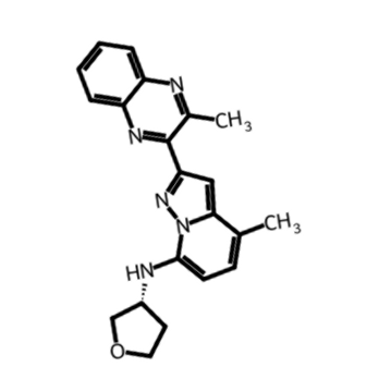 Cc1nc2ccccc2nc1-c1cc2c(C)ccc(N[C@@H]3CCOC3)n2n1